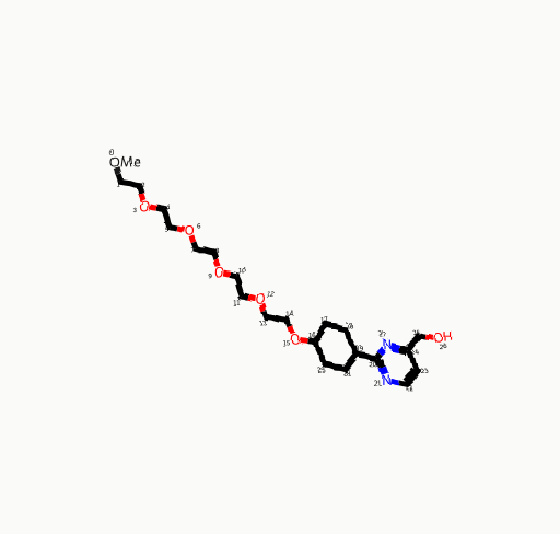 COCCOCCOCCOCCOCCOC1CCC(c2nccc(CO)n2)CC1